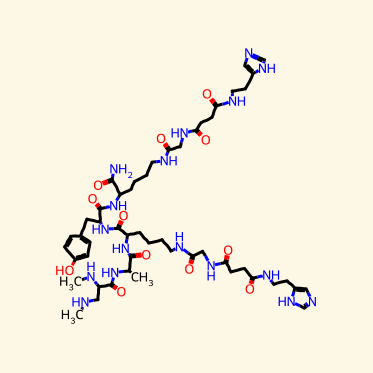 CNCC(NC)C(=O)NC(C)C(=O)NC(CCCCNC(=O)CNC(=O)CCC(=O)NCCc1cnc[nH]1)C(=O)NC(Cc1ccc(O)cc1)C(=O)NC(CCCCNC(=O)CNC(=O)CCC(=O)NCCc1cnc[nH]1)C(N)=O